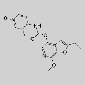 CCc1cc2c(OC(=O)Nc3cc[n+]([O-])cc3C)cnc(OC)c2o1